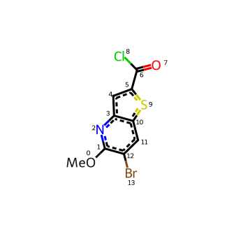 COc1nc2cc(C(=O)Cl)sc2cc1Br